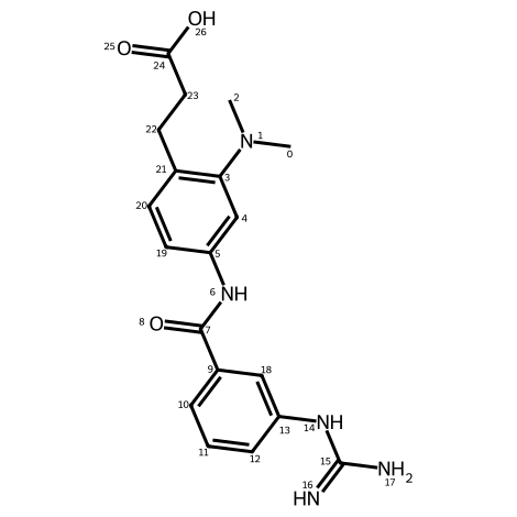 CN(C)c1cc(NC(=O)c2cccc(NC(=N)N)c2)ccc1CCC(=O)O